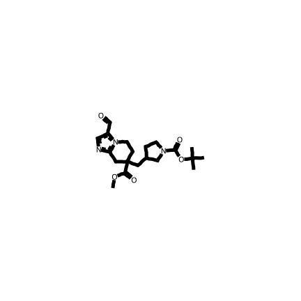 COC(=O)C1(CC2CCN(C(=O)OC(C)(C)C)C2)CCn2c(C=O)cnc2C1